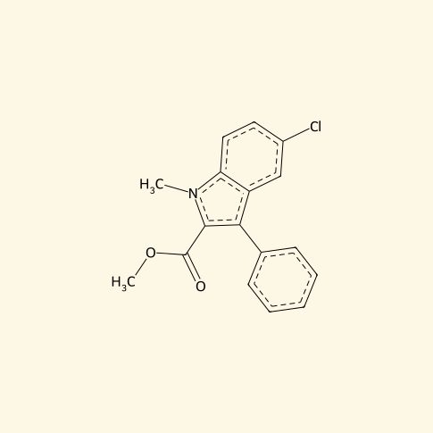 COC(=O)c1c(-c2ccccc2)c2cc(Cl)ccc2n1C